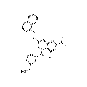 CC(C)c1cc(=O)c2c(Nc3cccc(CO)c3)cc(OCc3cccc4ccccc34)cc2o1